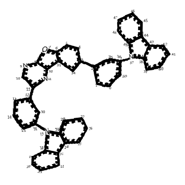 c1cc(-c2ccc3oc4ncc(-c5cccc(-n6c7ccccc7c7ccccc76)c5)nc4c3c2)cc(-n2c3ccccc3c3ccccc32)c1